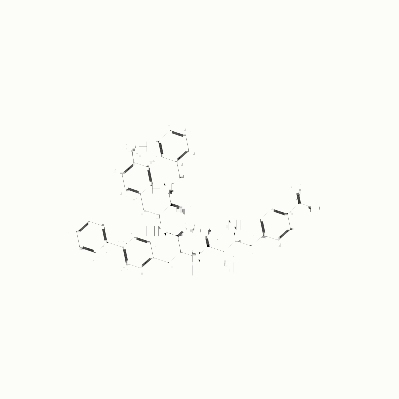 N[C@@H](Cc1ccc(C(=O)O)cc1)[C@H](S)C(=O)NC(Cc1ccc(-c2ccccc2)cc1)C(=O)NC(Cc1ccc(O)cc1)C(=O)NCc1ccccc1